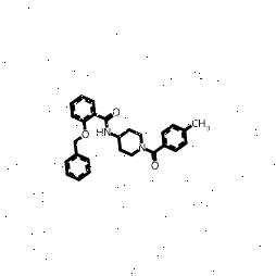 Cc1ccc(C(=O)N2CCC(NC(=O)c3ccccc3OCc3ccccc3)CC2)cc1